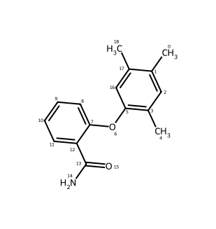 Cc1cc(C)c(Oc2ccccc2C(N)=O)cc1C